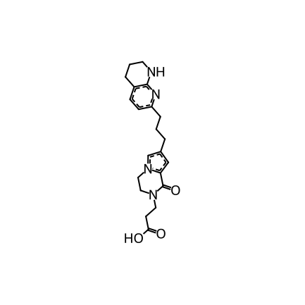 O=C(O)CCN1CCn2cc(CCCc3ccc4c(n3)NCCC4)cc2C1=O